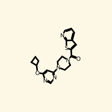 O=C(c1cc2cccnc2s1)N1CCN(c2cc(OC3CCC3)ncn2)CC1